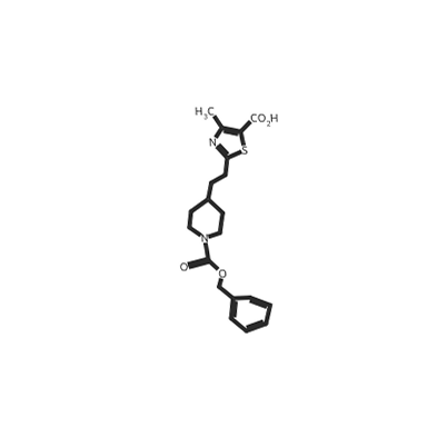 Cc1nc(CCC2CCN(C(=O)OCc3ccccc3)CC2)sc1C(=O)O